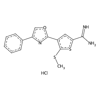 CSc1sc(C(=N)N)cc1-c1nc(-c2ccccc2)co1.Cl